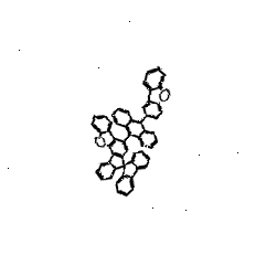 c1ccc2c(c1)-c1ccccc1C21c2ccccc2-c2c1cc(-c1c3ccccc3c(-c3ccc4oc5ccccc5c4c3)c3ccccc13)c1c2oc2ccccc21